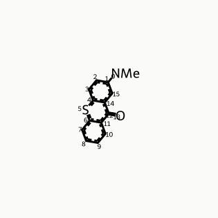 CNc1ccc2sc3ccccc3c(=O)c2c1